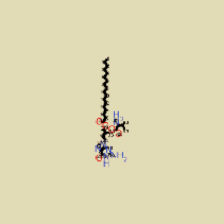 CCCCCCCCCCCCCCCCCC(=O)OCC(CCn1cnc2c(=O)[nH]c(N)nc21)COC(=O)[C@@H](N)C(C)C